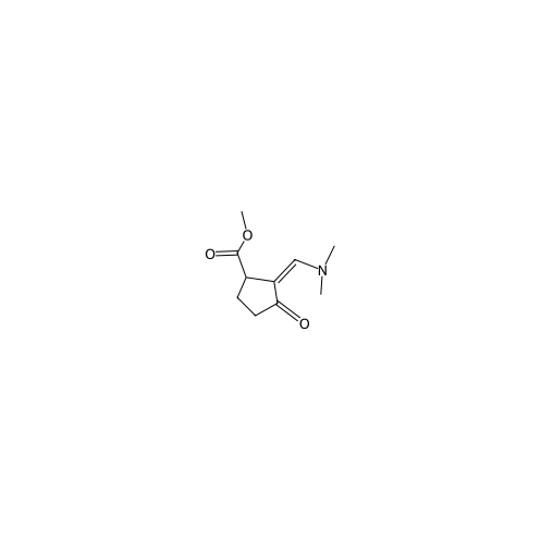 COC(=O)C1CCC(=O)C1=CN(C)C